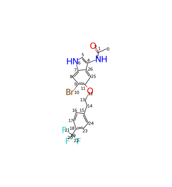 CC(=O)Nc1c[nH]c2cc(Br)c(OCCc3ccc(C(F)(F)F)cc3)cc12